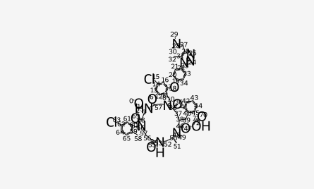 COC[C@@H]1NC(=O)[C@H](C)N(Cc2ccc(Cl)cc2Oc2ccc(-n3nnc(CN(C)C)c3C)cc2)C(=O)C[C@@H](Cc2ccccc2)C(=O)N(C)[C@@H](C)CNC(=O)C[C@H](Cc2ccc(Cl)cc2)N(C)C1=O.O=CO